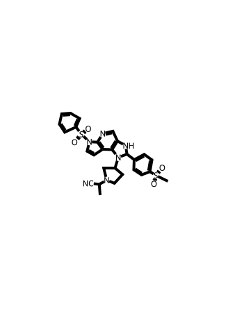 CC(C#N)N1CCC(N2c3c(cnc4c3ccn4S(=O)(=O)c3ccccc3)NC2c2ccc(S(C)(=O)=O)cc2)C1